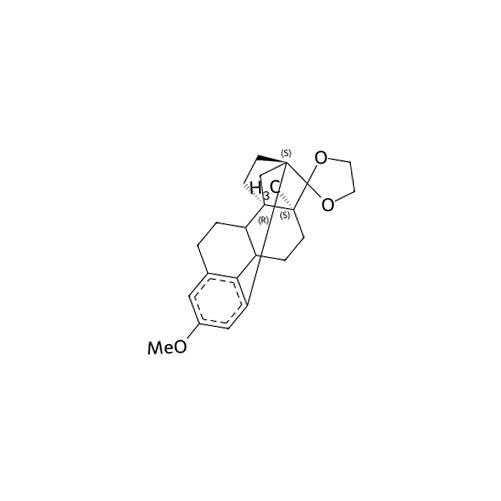 COc1cc2c3c(c1)[C@]14CC[C@@]5(C1)C(CC2)C3CC[C@]5(C)C41OCCO1